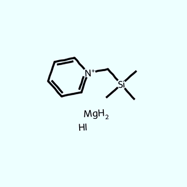 C[Si](C)(C)C[n+]1ccccc1.I.[MgH2]